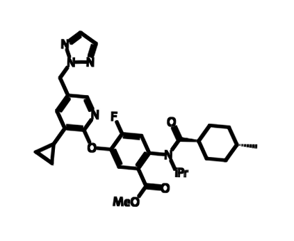 COC(=O)c1cc(Oc2ncc(Cn3nccn3)cc2C2CC2)c(F)cc1N(C(=O)[C@H]1CC[C@H](C)CC1)C(C)C